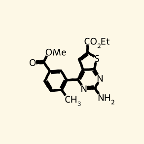 CCOC(=O)c1cc2c(-c3cc(C(=O)OC)ccc3C)nc(N)nc2s1